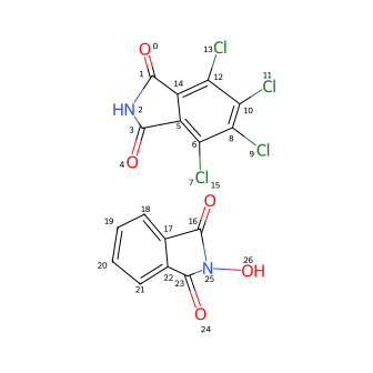 O=C1NC(=O)c2c(Cl)c(Cl)c(Cl)c(Cl)c21.O=C1c2ccccc2C(=O)N1O